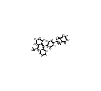 Brc1c2ccccc2c(-c2ccc(-c3nc4ccccc4o3)cc2)c2ccccc12